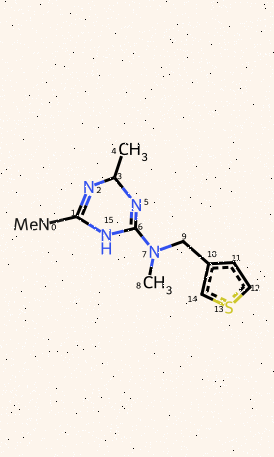 CNC1=NC(C)N=C(N(C)Cc2ccsc2)N1